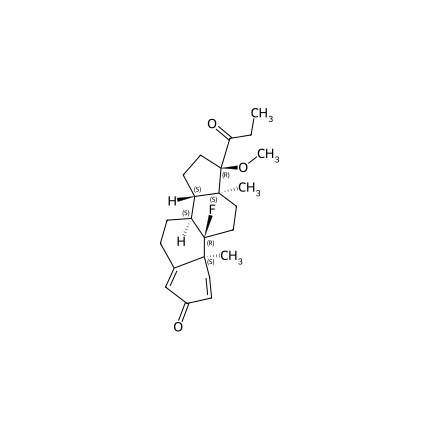 CCC(=O)[C@@]1(OC)CC[C@H]2[C@@H]3CCC4=CC(=O)C=C[C@]4(C)[C@@]3(F)CC[C@@]21C